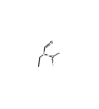 CCN([C]=O)N(C)C